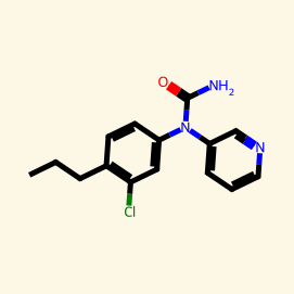 CCCc1ccc(N(C(N)=O)c2cccnc2)cc1Cl